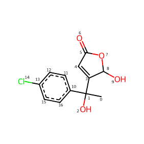 CC(O)(C1=CC(=O)OC1O)c1ccc(Cl)cc1